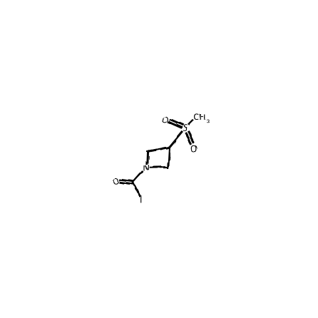 CS(=O)(=O)C1CN(C(=O)I)C1